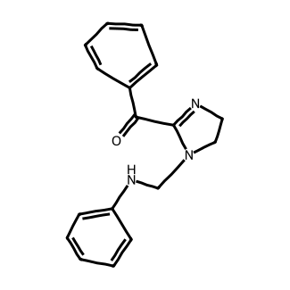 O=C(C1=NCCN1CNc1ccccc1)c1ccccc1